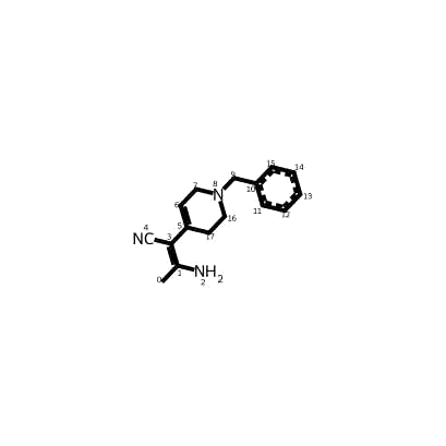 C/C(N)=C(\C#N)C1=CCN(Cc2ccccc2)CC1